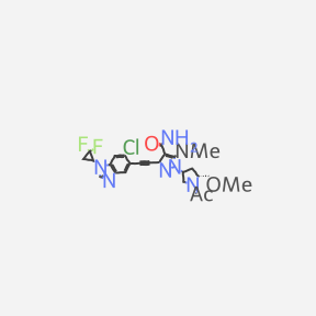 CNc1c(C(N)=O)c(C#Cc2cc3ncn([C@@H]4CC4(F)F)c3cc2Cl)nn1[C@H]1C[C@H](COC)N(C(C)=O)C1